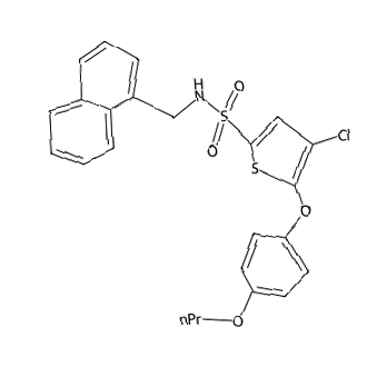 CCCOc1ccc(Oc2sc(S(=O)(=O)NCc3cccc4ccccc34)cc2Cl)cc1